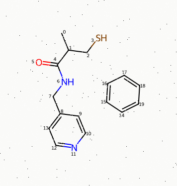 CC(CS)C(=O)NCc1ccncc1.c1ccccc1